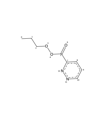 CCCOOC(=O)c1cccnn1